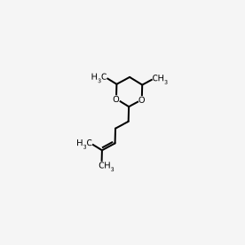 CC(C)=CCCC1OC(C)CC(C)O1